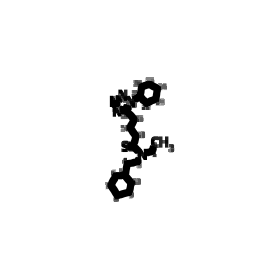 CCN(CCC1CCCCC1)C(=S)CCCc1nnnn1C1CCCCC1